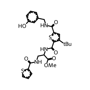 COC(=O)C(CNC(=O)c1cccs1)NC(=O)c1sc(C(=O)NCc2cccc(O)c2)cc1C(C)(C)C